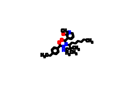 CCCCCCC(N(NC(=O)c1ccc(CC)cc1)C(=O)c1cccnc1OC)C(C)(C)C